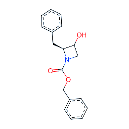 O=C(OCc1ccccc1)N1CC(O)[C@@H]1Cc1ccccc1